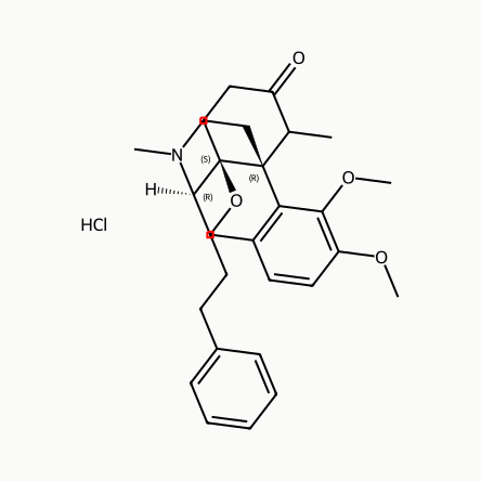 COc1ccc2c(c1OC)[C@]13CCN(C)[C@H](C2)[C@]1(OCCCc1ccccc1)CCC(=O)C3C.Cl